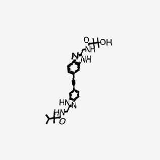 CC(C)C(C)(C)C(=O)NCc1nc2ccc(C#Cc3ccc4nc(CNC(=O)C(C)(C)C(C)(C)O)[nH]c4c3)cc2[nH]1